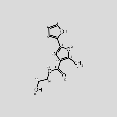 Cc1oc(-c2ccco2)nc1C(=O)OCCO